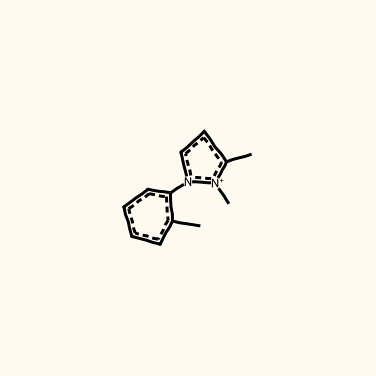 Cc1ccccc1-n1ccc(C)[n+]1C